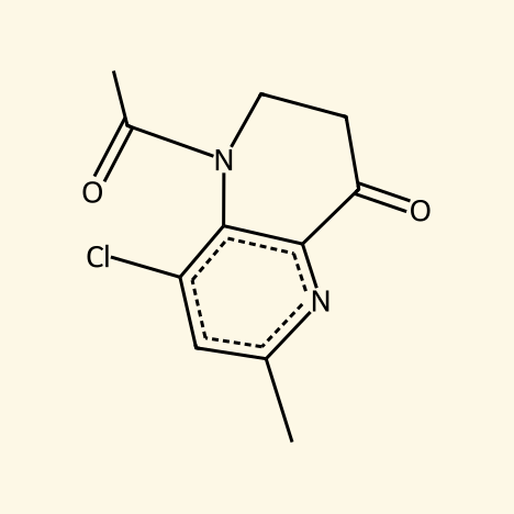 CC(=O)N1CCC(=O)c2nc(C)cc(Cl)c21